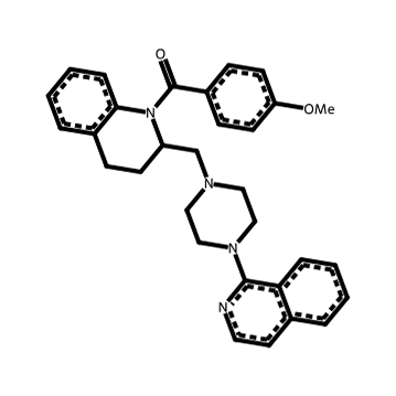 COc1ccc(C(=O)N2c3ccccc3CCC2CN2CCN(c3nccc4ccccc34)CC2)cc1